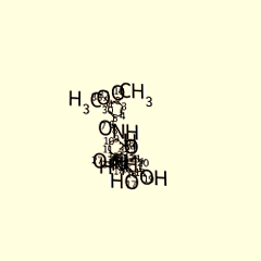 COc1ccc(C(=O)N[C@@H]2CC[C@H]3[C@H]4Cc5c(O)c(O)cc6c5[C@@]3(CC[NH+]4[O-])[C@H]2O6)cc1OC